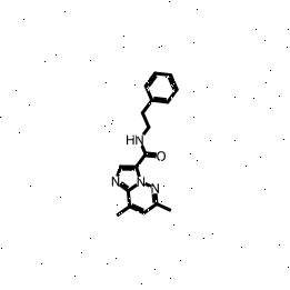 Cc1cc(C)c2ncc(C(=O)NCCc3ccccc3)n2n1